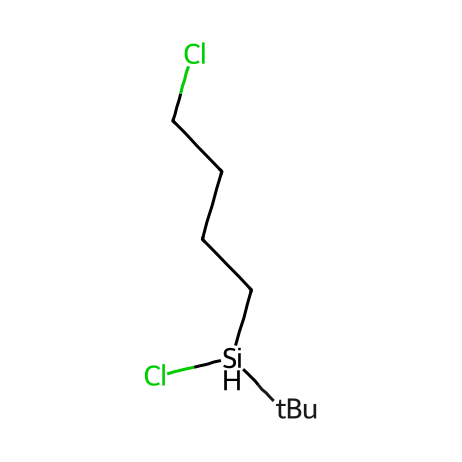 CC(C)(C)[SiH](Cl)CCCCCl